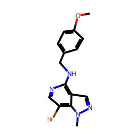 COc1ccc(CNc2ncc(Br)c3c2cnn3C)cc1